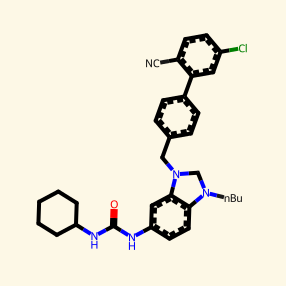 CCCCN1CN(Cc2ccc(-c3cc(Cl)ccc3C#N)cc2)c2cc(NC(=O)NC3CCCCC3)ccc21